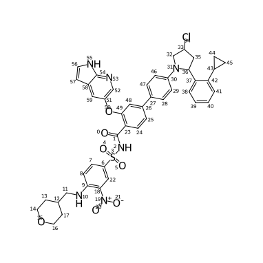 O=C(NS(=O)(=O)c1ccc(NCC2CCOCC2)c([N+](=O)[O-])c1)c1ccc(-c2ccc(N3CC(Cl)CC3c3ccccc3C3CC3)cc2)cc1Oc1cnc2[nH]ccc2c1